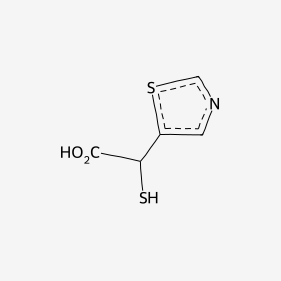 O=C(O)C(S)c1cncs1